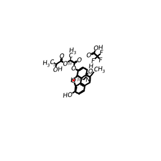 C[C@H](O)C(=O)O[C@@H](C)C(=O)OC1=CC[C@]2(O)C3Cc4ccc(O)c5c4[C@@]2(CCN3C)[C@H]1O5.O=C(O)C(F)(F)F